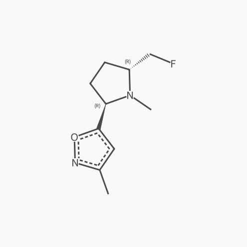 Cc1cc([C@H]2CC[C@H](CF)N2C)on1